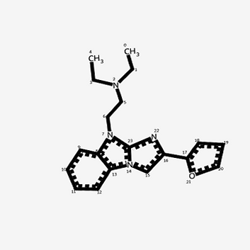 CCN(CC)CCn1c2ccccc2n2cc(-c3ccco3)nc12